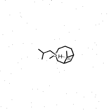 CC(C)CS1(C)CCCC2CC(C1)[C@H]2C